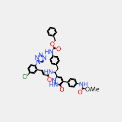 COC(=O)Nc1ccc(-c2cc([C@H](Cc3ccc(NC(=O)OCc4ccccc4)cc3)NC(=O)/C=C/c3cc(Cl)ccc3-n3cnnn3)n[nH]c2=O)cc1